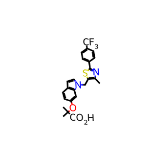 Cc1nc(-c2ccc(C(F)(F)F)cc2)sc1Cn1ccc2ccc(OC(C)(C)C(=O)O)cc21